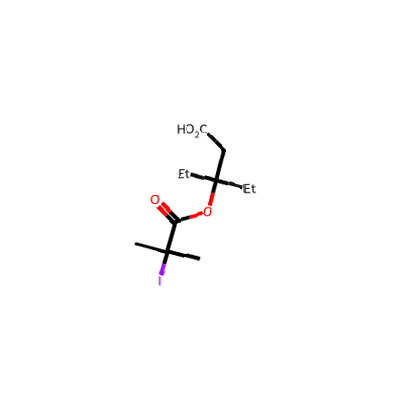 CCC(CC)(CC(=O)O)OC(=O)C(C)(C)I